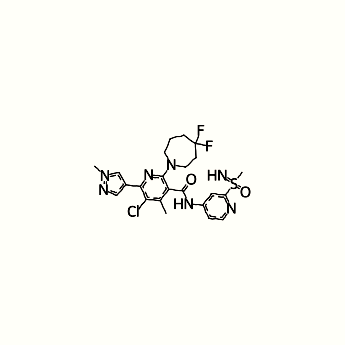 Cc1c(Cl)c(-c2cnn(C)c2)nc(N2CCCC(F)(F)CC2)c1C(=O)Nc1ccnc(S(C)(=N)=O)c1